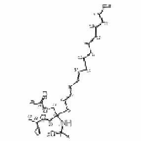 CC(=O)NC(CCCCCCCCCCCCCCF)(COC(C)=O)COC(C)=O